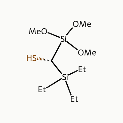 CC[Si](CC)(CC)[C@H](S)[Si](OC)(OC)OC